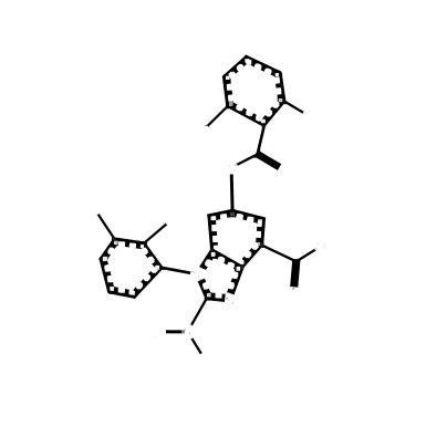 Cc1c(Cl)cccc1-n1c(N(C)C)nc2c(C(N)=O)cc(NC(=O)c3c(Cl)cccc3Cl)cc21